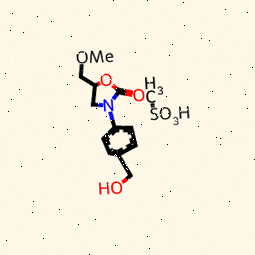 COCC1CN(c2ccc(CO)cc2)C(=O)O1.CS(=O)(=O)O